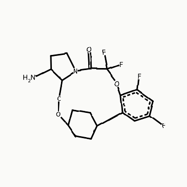 NC1CCN2C(=O)C(F)(F)Oc3c(F)cc(F)cc3C3CCC(CC3)OCC12